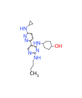 CCCCNc1ncc(-c2ccc(NC3CC3)nn2)c(NC2CCC(O)CC2)n1